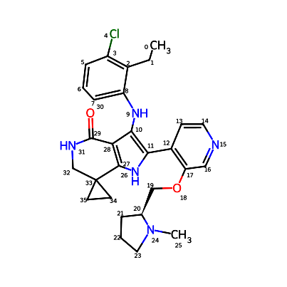 CCc1c(Cl)cccc1Nc1c(-c2ccncc2OC[C@@H]2CCCN2C)[nH]c2c1C(=O)NCC21CC1